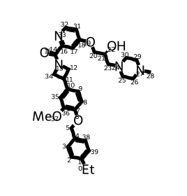 CCc1ccc(COc2ccc(C3CN(C(=O)c4cc(OC[C@@H](O)CN5CCN(C)CC5)ccn4)C3)cc2OC)cc1